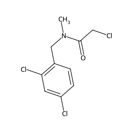 CN(Cc1ccc(Cl)cc1Cl)C(=O)CCl